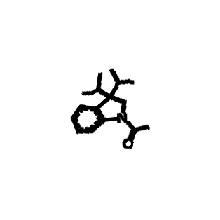 CC(=O)N1CC(C(C)C)(C(C)C)c2ccccc21